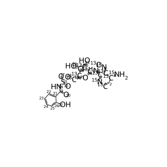 [15NH2][13c]1c[13cH][15n][13c]2[13c]1[15n][13cH][15n]2[13C@@H]1O[13C@H]([13CH2]OS(=O)(=O)NC(=O)c2ccccc2O)[13C@@H](O)[13C@H]1O